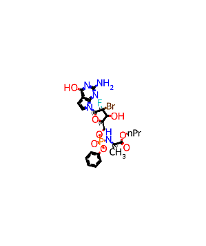 CCCOC(=O)[C@H](C)NP(=O)(OC[C@H]1O[C@@H](n2ccc3c(O)nc(N)nc32)[C@@](F)(Br)C1O)Oc1ccccc1